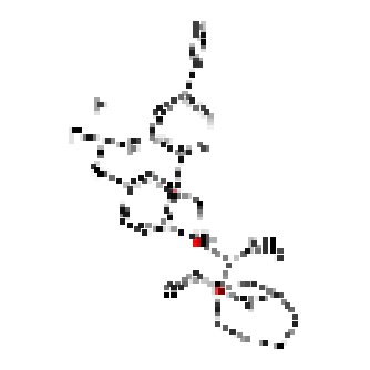 N#Cc1ccc(OCCC(N)CN2C3CCC2CN(C(=O)Nc2ccc(SC(F)(F)F)cc2)C3)cc1